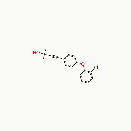 CC(C)(O)C#Cc1ccc(Oc2ccccc2Cl)cc1